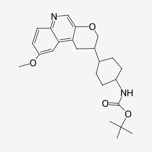 COc1ccc2ncc3c(c2c1)CC(C1CCC(NC(=O)OC(C)(C)C)CC1)CO3